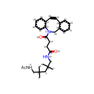 CC(=O)NCC(C)(C)CC(C)(C)CNC(=O)CCC(=O)N1Cc2ccccc2C#Cc2ccccc21